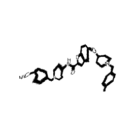 Cc1ccc(CN2CCC(Oc3ccc4oc(C(=O)NC5CCN(Cc6ccc(C#N)cc6)CC5)cc4c3)CC2)cc1